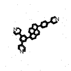 C1=NCCC(c2cc(-c3ccncc3)cc(-c3ccc4ccc5c(-c6ccc(-c7ccncc7)cc6)ccc6ccc3c4c65)c2)=C1